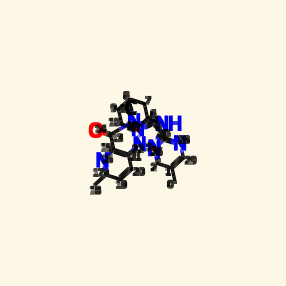 Cc1cnc(NC2CC3CCC2N(C(=O)c2nc(C)ccc2-n2nccn2)C3)nc1